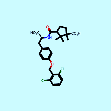 CC1(C(=O)O)CCC(C(=O)N[C@@H](Cc2ccc(OCc3c(Cl)cccc3Cl)cc2)C(=O)O)C1(C)C